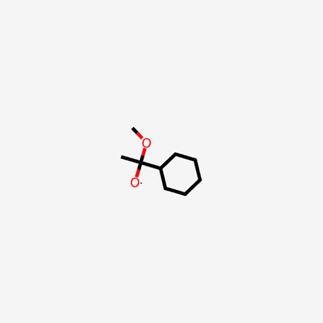 COC(C)([O])C1CCCCC1